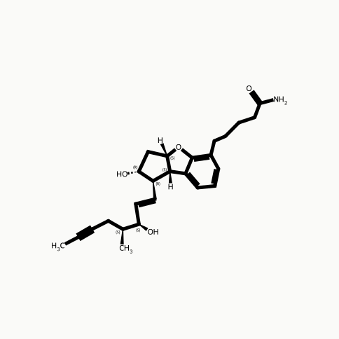 CC#CC[C@H](C)[C@H](O)C=C[C@@H]1[C@H]2c3cccc(CCCCC(N)=O)c3O[C@H]2C[C@H]1O